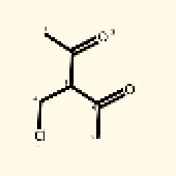 CC(=O)C(CCl)C(C)=O